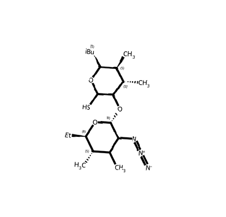 CC[C@H](C)C1OC(S)C(O[C@H]2O[C@H](CC)[C@@H](C)C(C)C2N=[N+]=[N-])[C@@H](C)[C@@H]1C